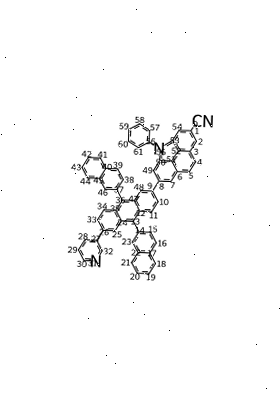 N#Cc1cc2ccc3cc(-c4ccc5c(-c6ccc7ccccc7c6)c6cc(-c7cccnc7)ccc6c(-c6ccc7ccccc7c6)c5c4)cc4c3c2c(c1)n4-c1ccccc1